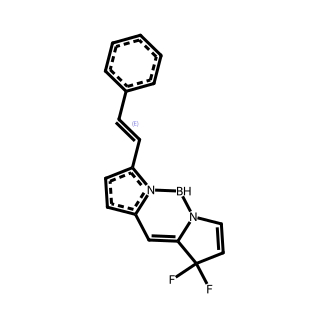 FC1(F)C=CN2Bn3c(ccc3/C=C/c3ccccc3)C=C21